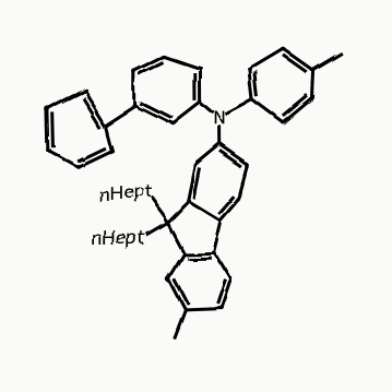 CCCCCCCC1(CCCCCCC)c2cc(C)ccc2-c2ccc(N(c3ccc(C)cc3)c3cccc(-c4ccccc4)c3)cc21